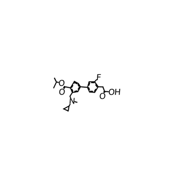 CC(C)OC(=O)c1ccc(-c2ccc(CC(=O)O)c(F)c2)cc1CN(C)C1CC1